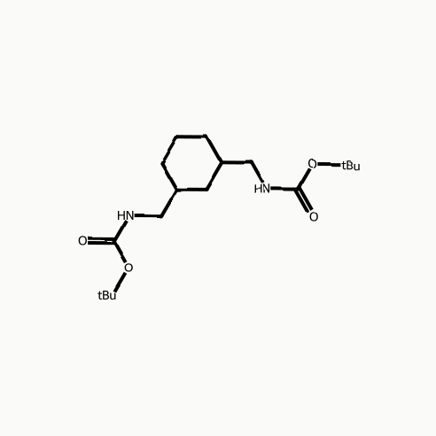 CC(C)(C)OC(=O)NCC1CCCC(CNC(=O)OC(C)(C)C)C1